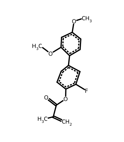 C=C(C)C(=O)Oc1ccc(-c2ccc(OC)cc2OC)cc1F